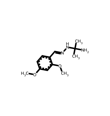 COc1ccc(/C=N/NC(C)(C)N)c(OC)c1